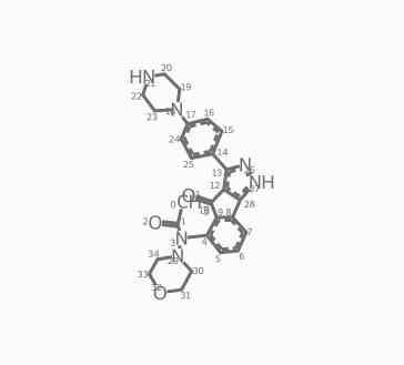 CC(=O)N(c1cccc2c1C(=O)c1c(-c3ccc(N4CCNCC4)cc3)n[nH]c1-2)N1CCOCC1